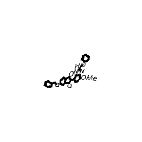 COc1ccc(C2C(=O)c3ccc(OCc4ccccc4)cc3C2=O)c2[nH]c(COc3ccccc3)nc12